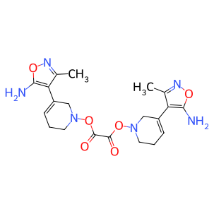 Cc1noc(N)c1C1=CCCN(OC(=O)C(=O)ON2CCC=C(c3c(C)noc3N)C2)C1